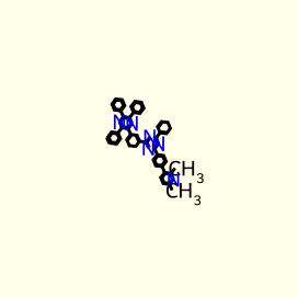 Cc1ccc(-c2ccc(-c3nc(C4=CCCC=C4)nc(C4=CC(c5nc(-c6ccccc6)c(-c6ccccc6)nc5-c5cc#ccc5)=CCC4)n3)cc2)c(C)n1